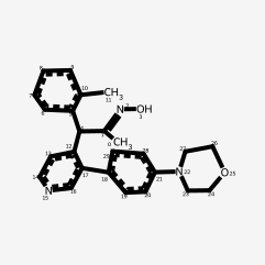 CC(=NO)C(c1ccccc1C)c1ccncc1-c1ccc(N2CCOCC2)cc1